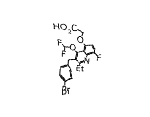 CCc1nc2c(F)ccc(OCC(=O)O)c2c(OC(F)F)c1Cc1ccc(Br)cc1